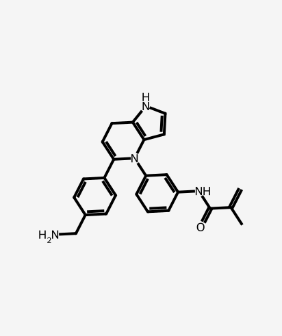 C=C(C)C(=O)Nc1cccc(N2C(c3ccc(CN)cc3)=CCc3[nH]ccc32)c1